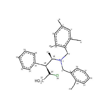 Cc1cc(C)c(CN(Cc2ccccc2C)[C@H](C)[C@H](c2ccccc2)C(Cl)C(=O)O)c(C)c1